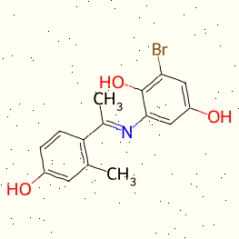 C/C(=N\c1cc(O)cc(Br)c1O)c1ccc(O)cc1C